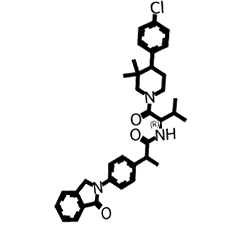 CC(C(=O)N[C@@H](C(=O)N1CCC(c2ccc(Cl)cc2)C(C)(C)C1)C(C)C)c1ccc(N2Cc3ccccc3C2=O)cc1